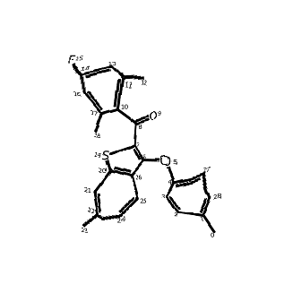 Cc1ccc(Oc2c(C(=O)c3c(C)cc(F)cc3C)sc3cc(C)ccc23)cc1